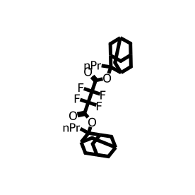 CCCC1(OC(=O)C(F)(F)C(F)(F)C(=O)OC2(CCC)C3CC4CC(C3)CC2C4)C2CC3CC(C2)CC1C3